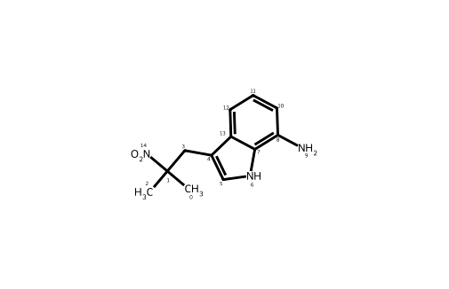 CC(C)(Cc1c[nH]c2c(N)cccc12)[N+](=O)[O-]